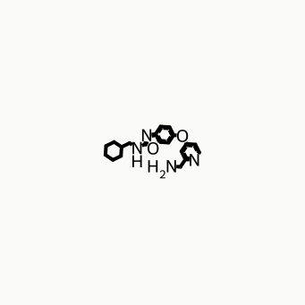 NCc1cc(Oc2ccc3nc(NCC4CCCCC4)oc3c2)ccn1